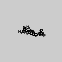 C=C(/C=C\c1ccncc1C)C1CC[C@H]2[C@@]34CC[C@]5(CC(N(C)CC6(C)COC6)CCC5=CC3=CC[C@]12C)O4